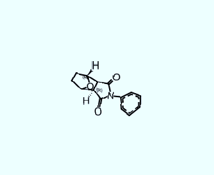 O=C1C2[C@@H](C(=O)N1c1ccccc1)C1CC[C@H]2O1